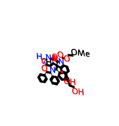 COCCOC(=O)N1C(=O)[C@@]2(c3cc(C#CCCO)ccc31)[C@H](c1ccc(O)cc1)N1[C@H](c3ccccc3)[C@H](c3ccccc3)OC(=O)[C@H]1[C@@H]2C(N)=O